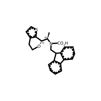 C[C@H]([C@@H]1OCCc2ccsc21)N(CC1c2ccccc2-c2ccccc21)C(=O)O